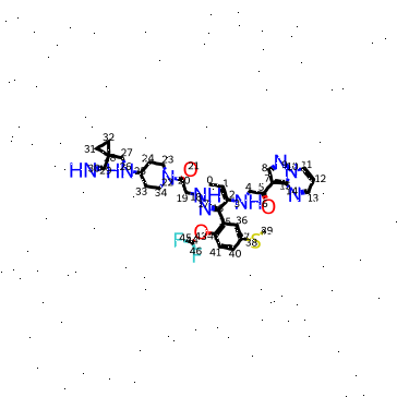 C/C=C(NCC(=O)c1cnn2cccnc12)\C(=N/NCC(=O)N1CCC(NCC2(C=N)CC2)CC1)c1cc(SC)ccc1OC(F)F